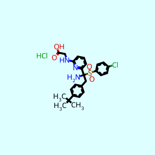 CC(C)(C)c1ccc(CC(N)(c2cccc(NCC(=O)O)n2)S(=O)(=O)c2ccc(Cl)cc2)cc1.Cl